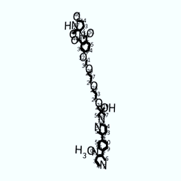 Cn1c2ccncc2c2ccc(-c3ccc(N4CC(O)(COCCCOCCCOCCOc5ccc6c(c5)C(=O)N(C5CCC(=O)NC5=O)C6=O)C4)nc3)cc21